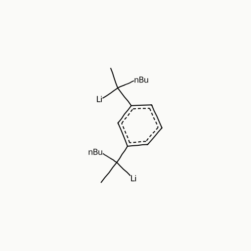 [Li][C](C)(CCCC)c1cccc([C]([Li])(C)CCCC)c1